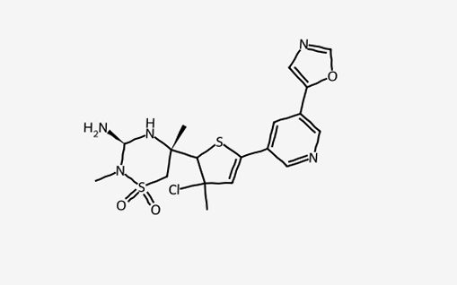 CN1[C@@H](N)N[C@](C)(C2SC(c3cncc(-c4cnco4)c3)=CC2(C)Cl)CS1(=O)=O